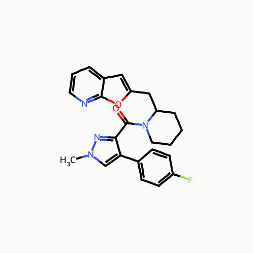 Cn1cc(-c2ccc(F)cc2)c(C(=O)N2CCCCC2Cc2cc3cccnc3o2)n1